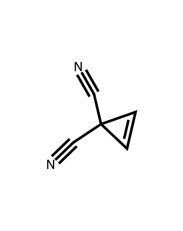 N#CC1(C#N)C=C1